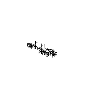 NC(CCNCCn1ccnc1)N[C@@H](O)C1C=CC(OC(F)(F)C(F)F)=CC1